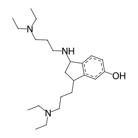 CCN(CC)CCCNC1CC(CCCN(CC)CC)c2cc(O)ccc21